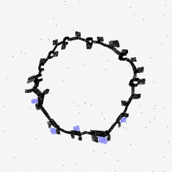 [C]1=C/C=C\C=C/C=C\C=C/CCCCCCCCCCCCCCCC\1